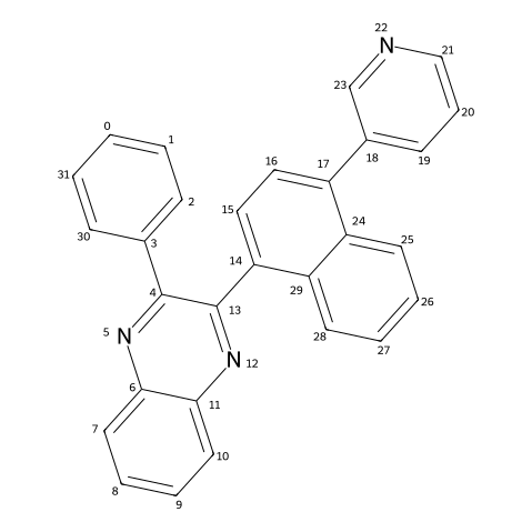 c1ccc(-c2nc3ccccc3nc2-c2ccc(-c3cccnc3)c3ccccc23)cc1